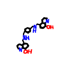 Oc1ccc(CNCc2ccc(CNCc3ccc(O)c4ncccc34)cc2)c2cccnc12